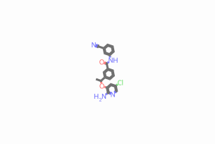 CC(Oc1cc(Cl)cnc1N)c1cccc(C(=O)Nc2cccc(C#N)c2)c1